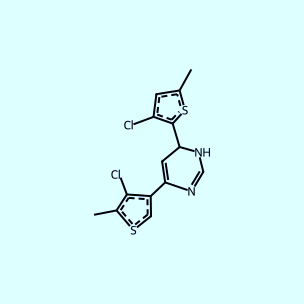 Cc1cc(Cl)c(C2C=C(c3csc(C)c3Cl)N=CN2)s1